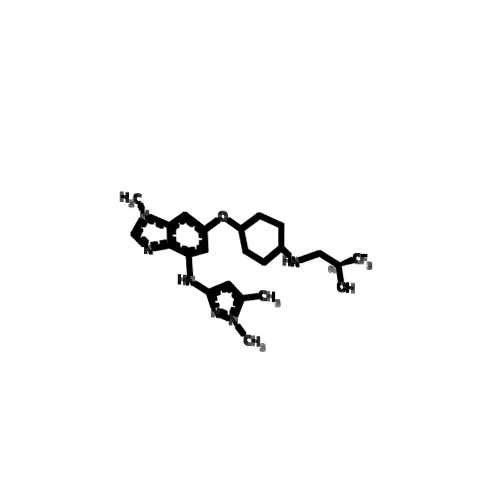 Cc1cc(Nc2cc(OC3CCC(NC[C@H](O)C(F)(F)F)CC3)cc3c2ncn3C)nn1C